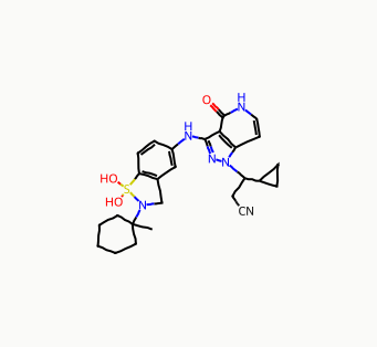 CC1(N2Cc3cc(Nc4nn(C(CC#N)C5CC5)c5cc[nH]c(=O)c45)ccc3S2(O)O)CCCCC1